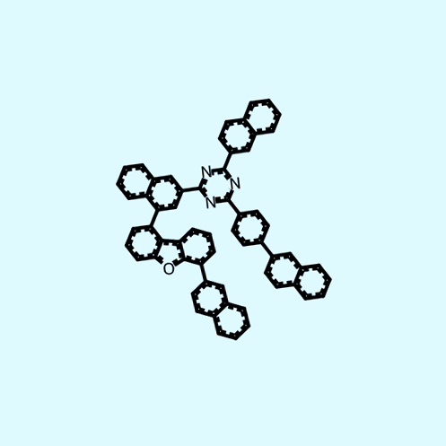 c1ccc2cc(-c3ccc(-c4nc(-c5ccc6ccccc6c5)nc(-c5cc(-c6cccc7oc8c(-c9ccc%10ccccc%10c9)cccc8c67)c6ccccc6c5)n4)cc3)ccc2c1